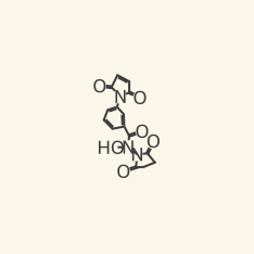 O=C1C=CC(=O)N1c1cccc(C(=O)N(O)N2C(=O)CCC2=O)c1